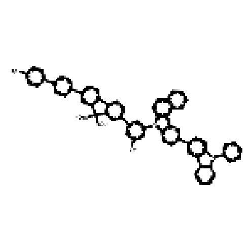 CCCCCCCCC1(CCCCCCCC)c2cc(-c3ccc(-c4ccc(C)cc4)cc3)ccc2-c2ccc(-c3cc(C)cc(-n4c5ccc(-c6ccc7c(c6)C6C=CC=CC6N7c6ccccc6)cc5c5c6ccccc6ccc54)c3)cc21